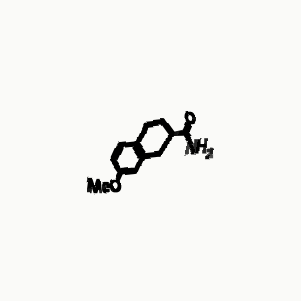 COc1ccc2c(c1)C[C@H](C(N)=O)CC2